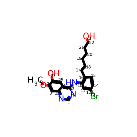 COc1cc2ncnc(Nc3cc(Br)ccc3C[CH]CCCCO)c2cc1O